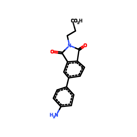 Nc1ccc(-c2ccc3c(c2)C(=O)N(CCC(=O)O)C3=O)cc1